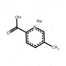 Cc1ccc(C(=O)O)nc1.[Na]